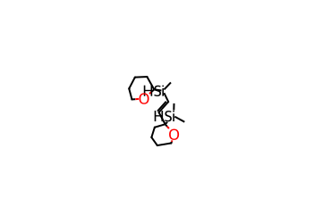 C[SiH](C=CC1([SiH](C)C)CCCCO1)C1CCCCO1